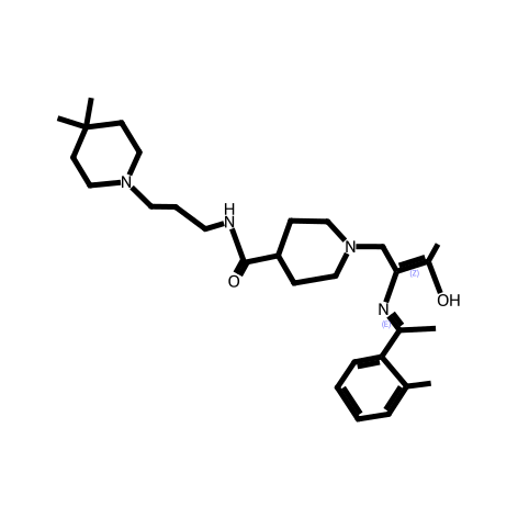 C/C(O)=C(CN1CCC(C(=O)NCCCN2CCC(C)(C)CC2)CC1)/N=C(\C)c1ccccc1C